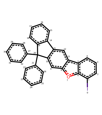 Ic1cccc2c1oc1cc3c(cc12)-c1ccccc1C3(c1ccccc1)c1ccccc1